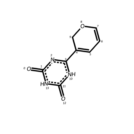 O=c1nc(C2=CC=COC2)[nH]c(=O)[nH]1